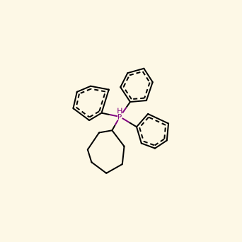 c1ccc([PH](c2ccccc2)(c2ccccc2)C2CCCCCC2)cc1